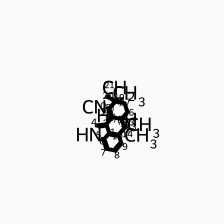 [C-]#[N+][C@@H]1[C@H]2c3c[nH]c4cccc(c34)C(C)(C)[C@@H]2CC[C@]1(C)C=C